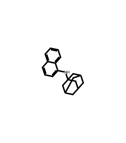 c1ccc2c(NC34CC5CC(CC(C5)C3)C4)cccc2c1